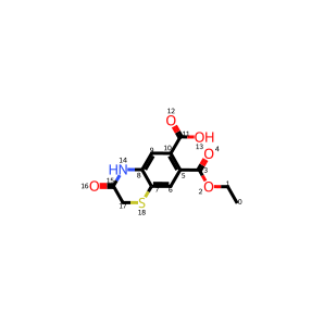 CCOC(=O)c1cc2c(cc1C(=O)O)NC(=O)CS2